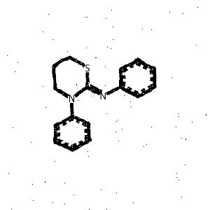 c1ccc(/N=C2\SCCCN2c2ccccc2)cc1